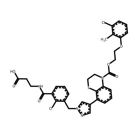 Cc1c(Cl)cccc1OCCOC(=O)N1CCSc2c(-c3cnn(Cc4cccc(C(=O)NCCC(=O)O)c4Cl)c3)cccc21